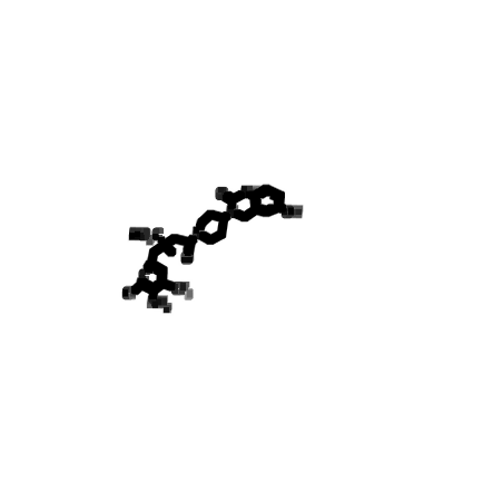 C[C@@](CC(=O)N1CCC(N2Cc3cc(O)ccc3NC2=O)CC1)(Cc1cc(Cl)c(N)c(C(F)(F)F)c1)C(=O)O